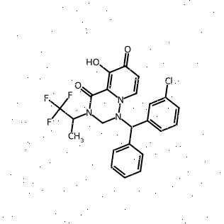 CC(N1CN(C(c2ccccc2)c2cccc(Cl)c2)n2ccc(=O)c(O)c2C1=O)C(F)(F)F